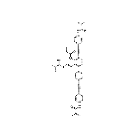 C=CC(=O)Oc1c(C#Cc2ccc(OC(=O)C(=C)C)cc2)ccc(-c2ccc(C#Cc3ccc(OC(=O)C(=C)C)cc3)cc2)c1/C=C/OC(=O)C(=C)C